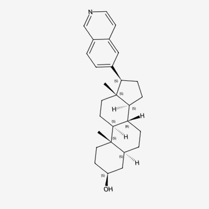 C[C@]12CC[C@H](O)C[C@@H]1CC[C@@H]1[C@@H]2CC[C@]2(C)[C@@H](c3ccc4cnccc4c3)CC[C@@H]12